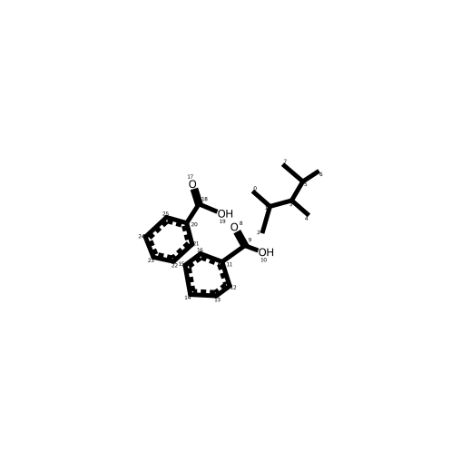 CC(C)C(C)C(C)C.O=C(O)c1ccccc1.O=C(O)c1ccccc1